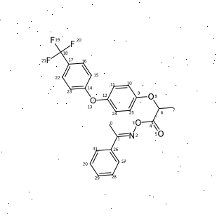 CC(=NOC(=O)C(C)Oc1ccc(Oc2ccc(C(F)(F)F)cc2)cc1)c1ccccc1